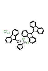 [Cl-].[Cl-].[Cl][Zr]([Cl])[C]1=CC=CC1.[Zr+2][CH]1c2ccccc2-c2ccccc21.c1ccc2c(c1)-c1ccccc1C2C1c2ccccc2-c2ccccc21